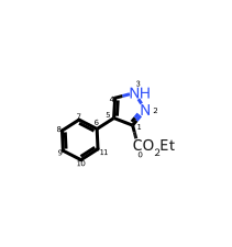 CCOC(=O)c1n[nH]cc1-c1ccccc1